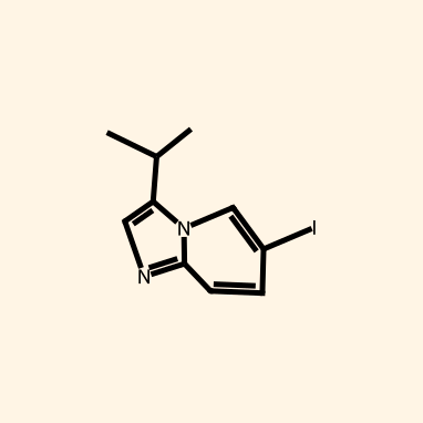 CC(C)c1cnc2ccc(I)cn12